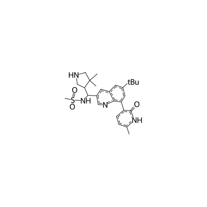 Cc1ccc(-c2cc(C(C)(C)C)cc3cc(C(NS(C)(=O)=O)C4CNCC4(C)C)cnc23)c(=O)[nH]1